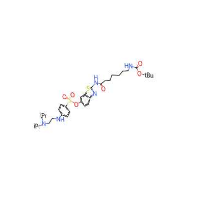 CC(C)N(CCNc1ccc(S(=O)(=O)Oc2ccc3nc(NC(=O)CCCCCCNC(=O)OC(C)(C)C)sc3c2)cc1)C(C)C